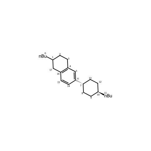 CCCCC1CCc2cc([C@H]3CC[C@H](CCCC)CC3)ccc2C1